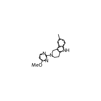 COc1ccnc(N2CCc3[nH]c4ccc(C)cc4c3C2)n1